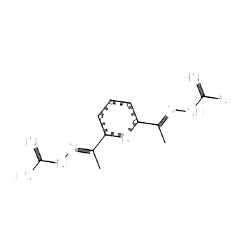 C/C(=N\NC(=N)N)c1cccc(/C(C)=N/NC(=N)N)n1